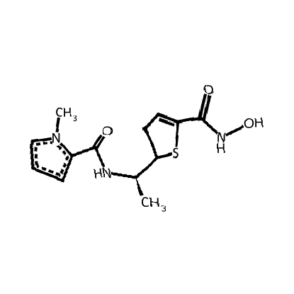 C[C@@H](NC(=O)c1cccn1C)C1CC=C(C(=O)NO)S1